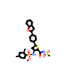 COP(=O)(Nc1cc(-c2ccc(-c3cc4ccccc4o3)cc2)sc1C(=O)NS(C)(=O)=O)c1ccc(C)cc1C